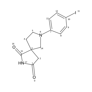 O=C1CC2(CCN(c3ccc(I)cc3)C2)C(=O)N1